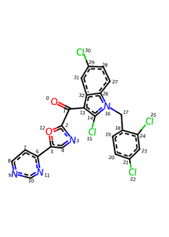 O=C(c1ncc(-c2ccncn2)o1)c1c(Cl)n(Cc2ccc(Cl)cc2Cl)c2ccc(Cl)cc12